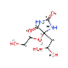 O=C1NC(=O)C(CC(O)O)(OCCO)N1